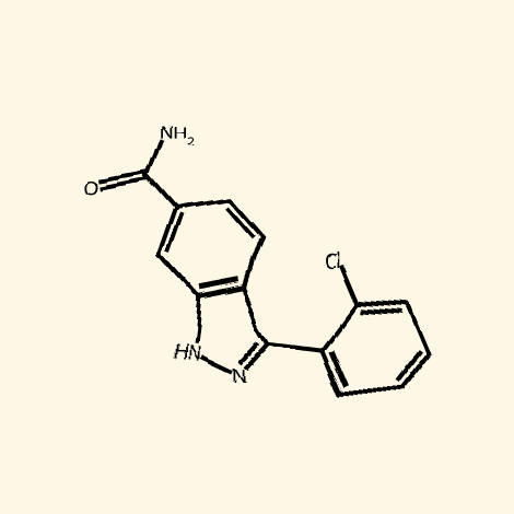 NC(=O)c1ccc2c(-c3ccccc3Cl)n[nH]c2c1